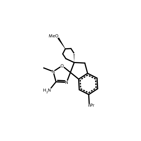 CCCc1ccc2c(c1)C1(N=C(N)N(C)O1)[C@]1(CC[C@H](OC)CC1)C2